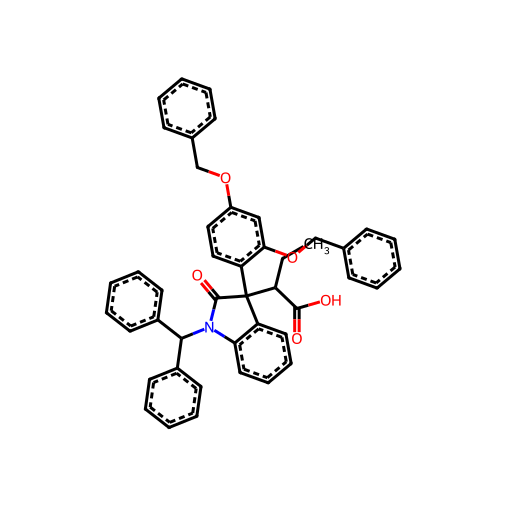 CCC(C(=O)O)C1(c2ccc(OCc3ccccc3)cc2OCc2ccccc2)C(=O)N(C(c2ccccc2)c2ccccc2)c2ccccc21